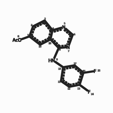 CC(=O)Oc1ccc2ncnc(Nc3ccc(F)c(F)c3)c2c1